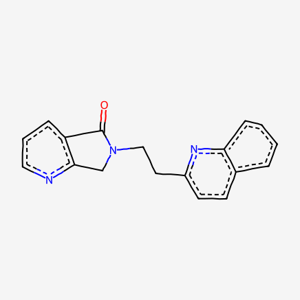 O=C1c2cccnc2CN1CCc1ccc2ccccc2n1